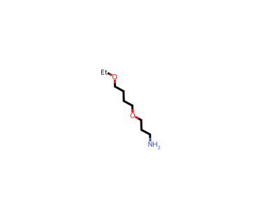 CCOCCCCOCCCN